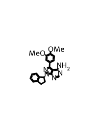 COc1ccc(-c2nn(C3CCc4ccccc43)c3ncnc(N)c23)cc1OC